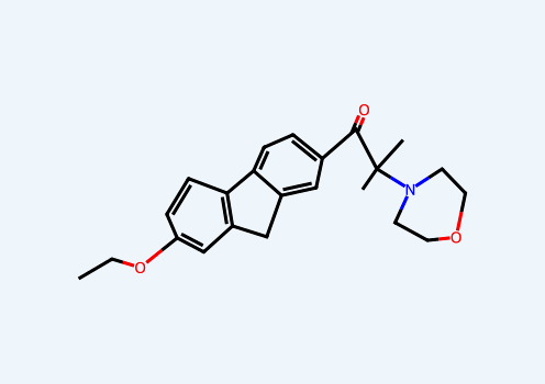 CCOc1ccc2c(c1)Cc1cc(C(=O)C(C)(C)N3CCOCC3)ccc1-2